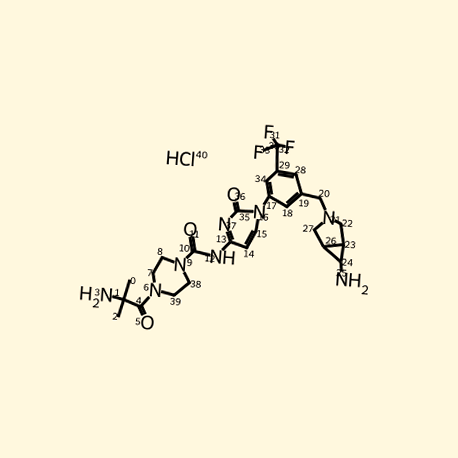 CC(C)(N)C(=O)N1CCN(C(=O)Nc2ccn(-c3cc(CN4CC5C(N)C5C4)cc(C(F)(F)F)c3)c(=O)n2)CC1.Cl